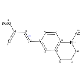 COC(=O)/C=C/c1ccc2c(c1)CCCN2C(C)=O